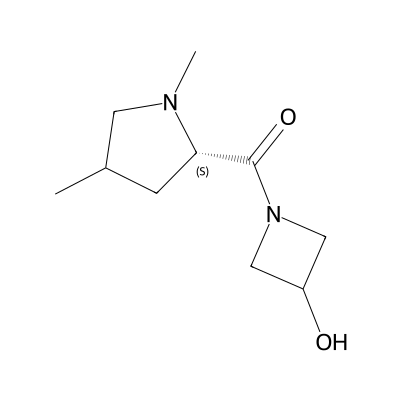 CC1C[C@@H](C(=O)N2CC(O)C2)N(C)C1